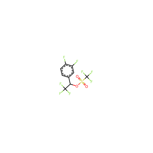 O=S(=O)(OC(c1ccc(F)c(F)c1)C(F)(F)F)C(F)(F)F